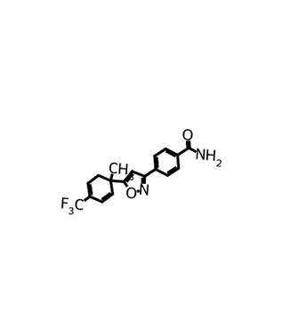 CC1(c2cc(-c3ccc(C(N)=O)cc3)no2)C=CC(C(F)(F)F)=CC1